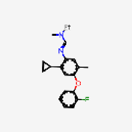 CCN(C)C=Nc1cc(C)c(Oc2ccccc2F)cc1C1CC1